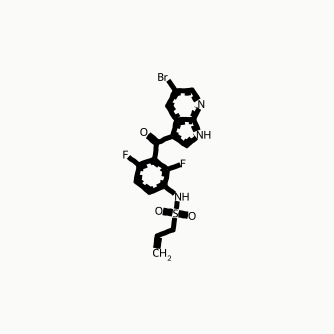 C=CCS(=O)(=O)Nc1ccc(F)c(C(=O)c2c[nH]c3ncc(Br)cc23)c1F